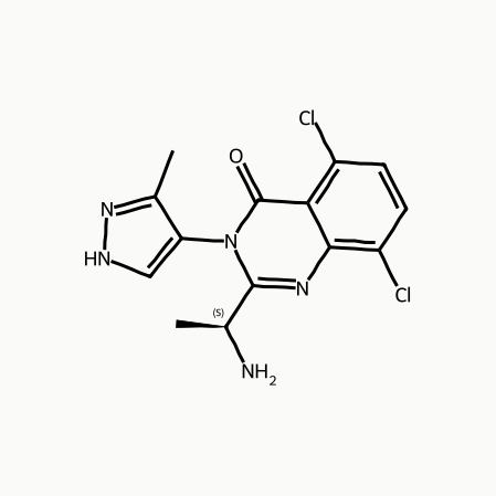 Cc1n[nH]cc1-n1c([C@H](C)N)nc2c(Cl)ccc(Cl)c2c1=O